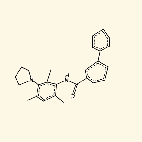 Cc1cc(C)c(N2CCCC2)c(C)c1NC(=O)c1cccc(-c2ccccc2)c1